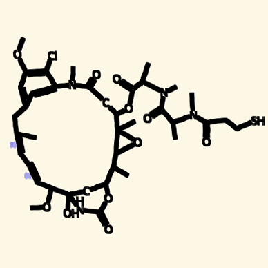 COc1cc2cc(c1Cl)N(C)C(=O)CC(OC(=O)C(C)N(C)C(=O)C(C)N(C)C(=O)CCS)C1(C)OC1C(C)C1CC(O)(NC(=O)O1)C(OC)/C=C/C=C(\C)C2